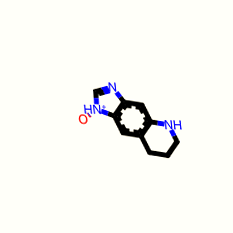 [O-][NH+]1C=Nc2cc3c(cc21)CCCN3